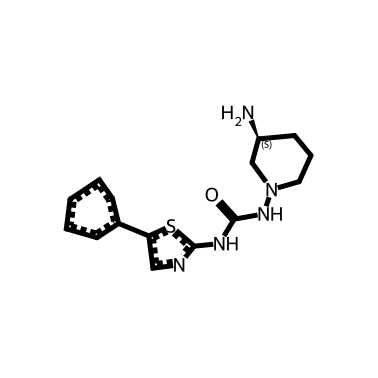 N[C@H]1CCCN(NC(=O)Nc2ncc(-c3ccccc3)s2)C1